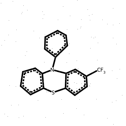 FC(F)(F)c1ccc2c(c1)N(c1ccccc1)c1ccccc1S2